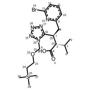 CC(C)[C@H](C(=O)O)[C@H](Cc1cccc(Br)n1)c1nnnn1COCC[Si](C)(C)C